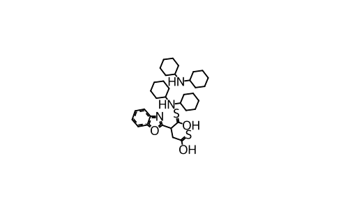 C1CCC(NC2CCCCC2)CC1.C1CCC(NC2CCCCC2)CC1.OC(=S)CC(C(O)=S)c1nc2ccccc2o1